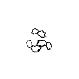 c1cc2ccncc2cn1.c1ccc2c(c1)ccc1c3c(ccc12)CCCC3